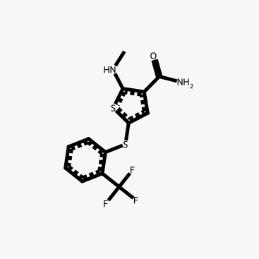 CNc1sc(Sc2ccccc2C(F)(F)F)cc1C(N)=O